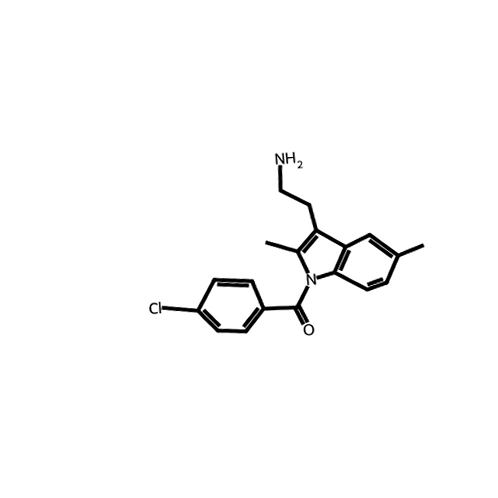 Cc1ccc2c(c1)c(CCN)c(C)n2C(=O)c1ccc(Cl)cc1